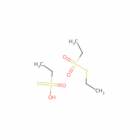 CCS(=O)(O)=S.CCSS(=O)(=O)CC